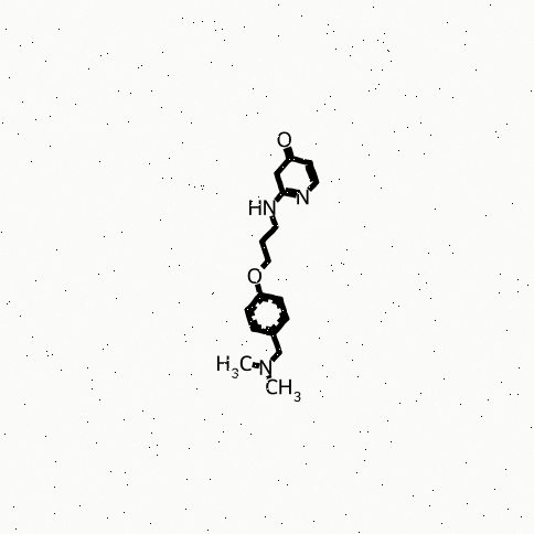 CN(C)Cc1ccc(OCCCNC2=NC=CC(=O)C2)cc1